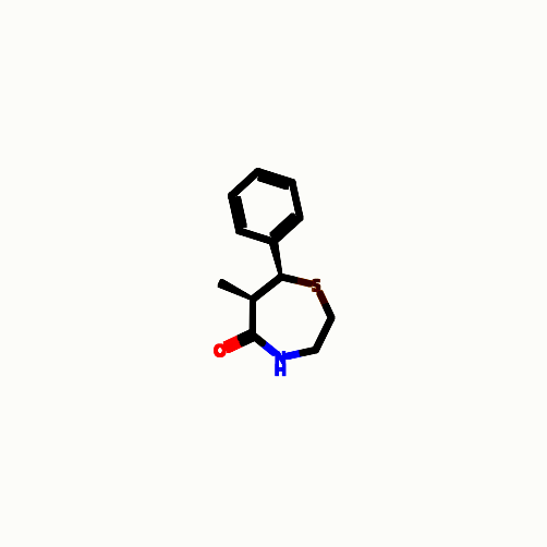 C[C@@H]1C(=O)NCCS[C@@H]1c1ccccc1